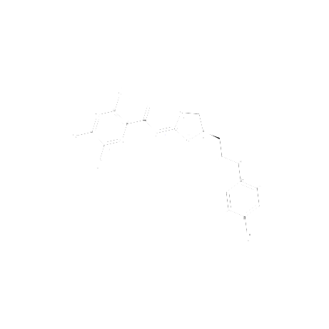 Nc1nc(N)c(C(=O)/C=C2\NC[C@@H](CCCc3ccc(O)cc3)N2)nc1Cl